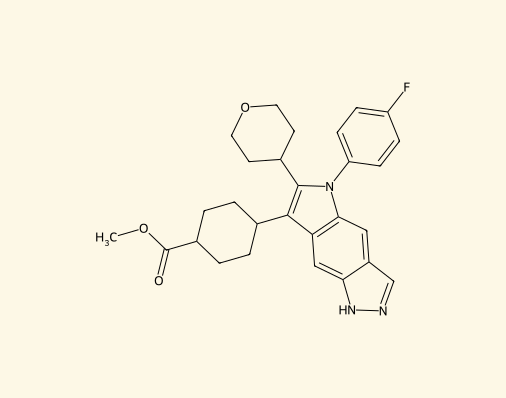 COC(=O)C1CCC(c2c(C3CCOCC3)n(-c3ccc(F)cc3)c3cc4cn[nH]c4cc23)CC1